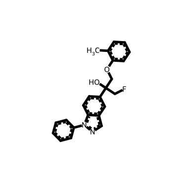 Cc1ccccc1OCC(O)(CF)c1ccc2c(cnn2-c2ccccc2)c1